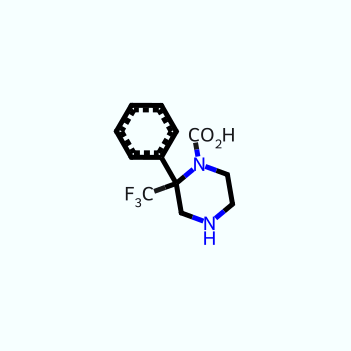 O=C(O)N1CCNCC1(c1ccccc1)C(F)(F)F